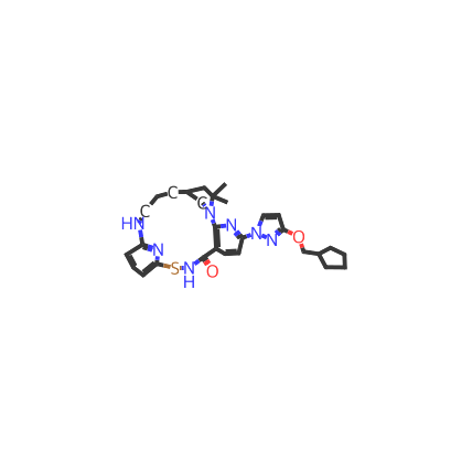 CC1(C)CC2CCCNc3cccc(n3)SNC(=O)c3ccc(-n4ccc(OCC5CCCC5)n4)nc3N1C2